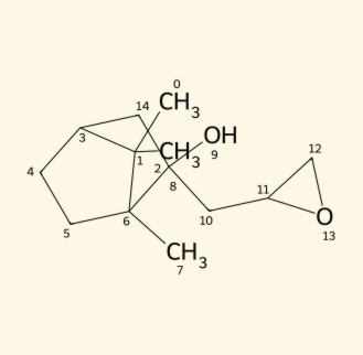 CC1(C)C2CCC1(C)C(O)(CC1CO1)C2